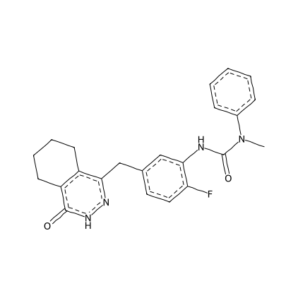 CN(C(=O)Nc1cc(Cc2n[nH]c(=O)c3c2CCCC3)ccc1F)c1ccccc1